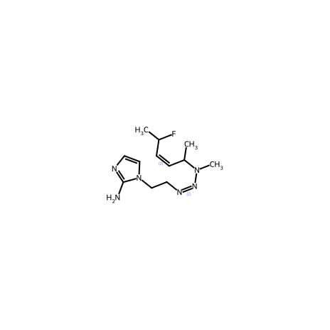 CC(F)/C=C\C(C)N(C)/N=N\CCn1ccnc1N